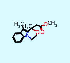 COC(=O)CC1(C)OCCn2c1c(C)c1ccccc12